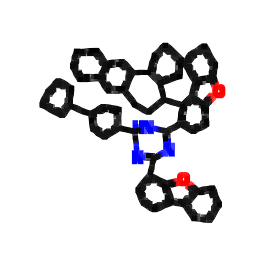 c1ccc(-c2ccc(C3N=C(c4cccc5c4oc4ccccc45)N=C(c4ccc5oc6ccccc6c5c4C4CCc5cc6ccccc6cc5-c5ccccc54)N3)cc2)cc1